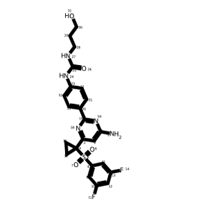 Nc1cc(C2(S(=O)(=O)c3cc(F)cc(F)c3)CC2)nc(-c2ccc(NC(=O)NCCCO)cc2)n1